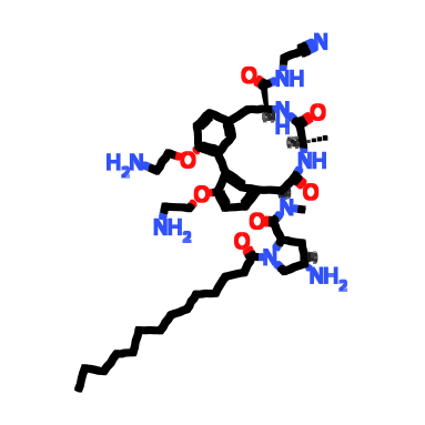 CCCCCCCCCCCCCC(=O)N1C[C@H](N)CC1C(=O)N(C)[C@@H]1C(=O)N[C@@H](C)C(=O)N[C@H](C(=O)NCC#N)Cc2ccc(OCCN)c(c2)-c2cc1ccc2OCCN